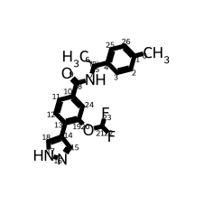 Cc1ccc([C@@H](C)NC(=O)c2ccc(-c3cn[nH]c3)c(OC(F)F)c2)cc1